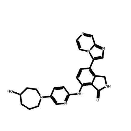 O=C1NCc2c(-c3cnc4cnccn34)ccc(Nc3ccc(N4CCCC(O)CC4)cn3)c21